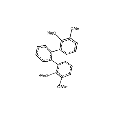 COc1cccc(-c2[c]cccc2-c2cccc(OC)c2OC)c1OC